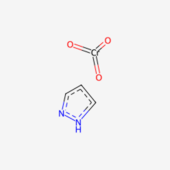 [O]=[Cr](=[O])=[O].c1cn[nH]c1